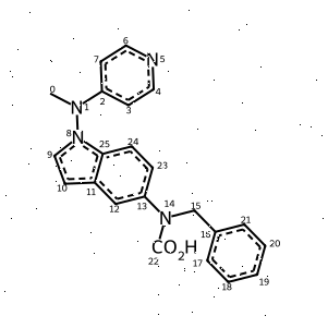 CN(c1ccncc1)n1ccc2cc(N(Cc3ccccc3)C(=O)O)ccc21